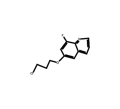 Fc1cc(OCCCCl)cc2cccnc12